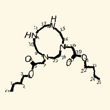 CCCCOC(=O)CN1CCNCCNCCN(CC(=O)OCCCC)CC1